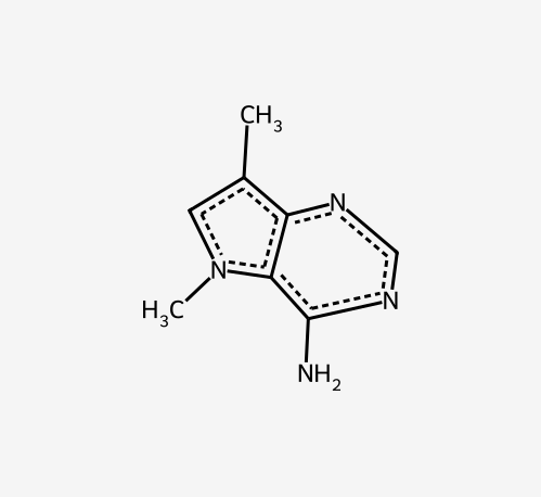 Cc1cn(C)c2c(N)ncnc12